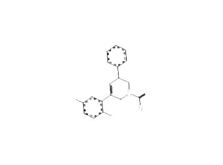 NC(=O)N1CC(c2cc(F)ccc2F)=CC(c2ccccc2)C1